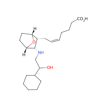 O=C(O)CCC/C=C\C[C@@H]1[C@H](NCC(O)C2CCCCC2)[C@@H]2CC[C@H]1O2